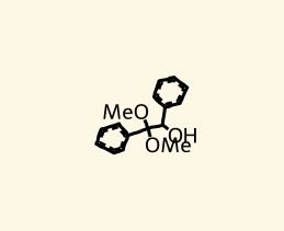 COC(OC)(c1ccccc1)C(O)c1ccccc1